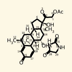 CC(=O)OCC(=O)[C@@]1(O)CC[C@H]2[C@@H]3C[C@H](C)C4=CC(=O)C=C[C@]4(C)[C@H]3[C@@H](O)C[C@@]21C.O=C1CNC(=O)N1